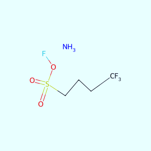 N.O=S(=O)(CCCC(F)(F)F)OF